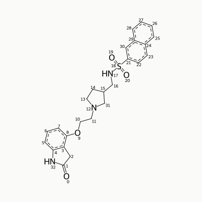 O=C1Cc2c(cccc2OCCN2CCC(CNS(=O)(=O)c3ccc4ccccc4c3)C2)N1